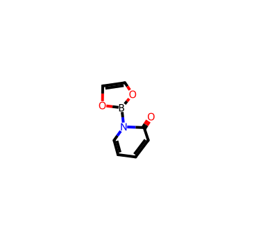 O=c1ccccn1B1OC=CO1